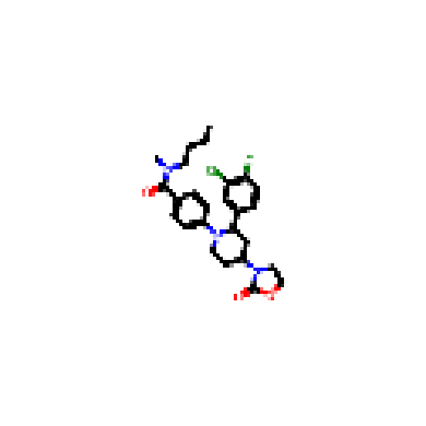 CCCCN(C)C(=O)c1ccc(N2CCC(N3CCOC3=O)CC2c2ccc(Cl)c(Cl)c2)cc1